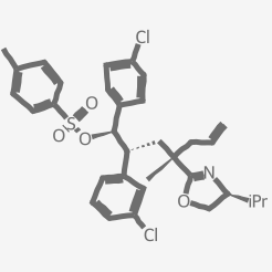 C=CC[C@@](C)(C[C@H](c1cccc(Cl)c1)[C@@H](OS(=O)(=O)c1ccc(C)cc1)c1ccc(Cl)cc1)C1=N[C@@H](C(C)C)CO1